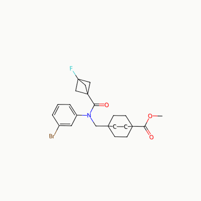 COC(=O)C12CCC(CN(C(=O)C34CC(F)(C3)C4)c3cccc(Br)c3)(CC1)CC2